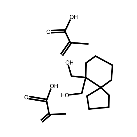 C=C(C)C(=O)O.C=C(C)C(=O)O.OCC1(CO)CCCCC12CCCC2